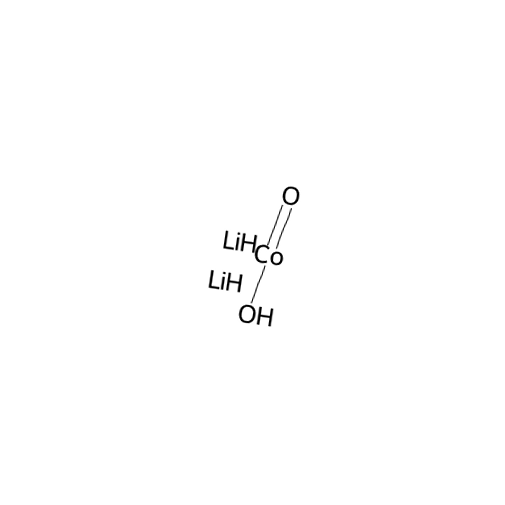 [LiH].[LiH].[O]=[Co][OH]